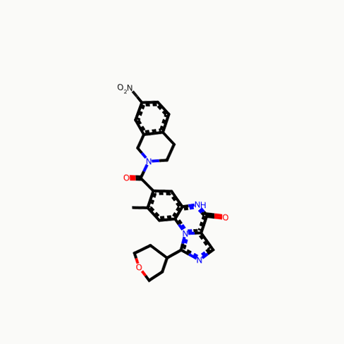 Cc1cc2c(cc1C(=O)N1CCc3ccc([N+](=O)[O-])cc3C1)[nH]c(=O)c1cnc(C3CCOCC3)n12